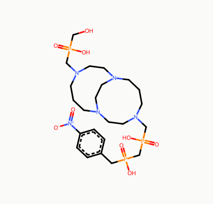 O=[N+]([O-])c1ccc(CP(=O)(O)CP(=O)(O)CN2CCCN3CCN(CCCN(CP(=O)(O)CO)CC3)CC2)cc1